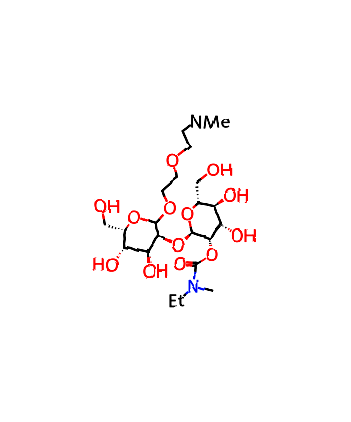 CCN(C)C(=O)O[C@@H]1[C@@H](O[C@@H]2C(OCCOCCNC)O[C@@H](CO)[C@@H](O)[C@@H]2O)O[C@H](CO)[C@@H](O)[C@@H]1O